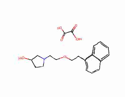 O=C(O)C(=O)O.OC1CCN(CCOCCc2cccc3ccccc23)C1